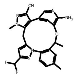 Cc1ccc2c(c1)C(C)Oc1cc(cnc1N)-c1c(C#N)nn(C)c1Cc1cc(C(F)F)nn1-2